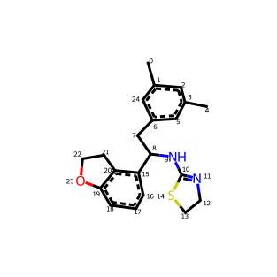 Cc1cc(C)cc(CC(NC2=NCCS2)c2cccc3c2CCO3)c1